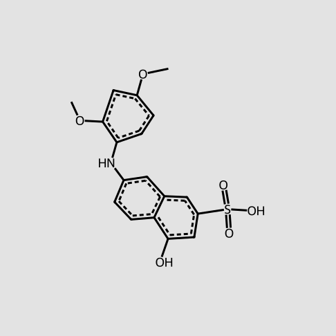 COc1ccc(Nc2ccc3c(O)cc(S(=O)(=O)O)cc3c2)c(OC)c1